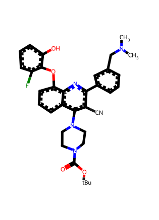 CN(C)Cc1cccc(-c2nc3c(Oc4c(O)cccc4F)cccc3c(N3CCN(C(=O)OC(C)(C)C)CC3)c2C#N)c1